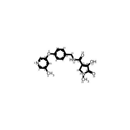 Cc1cncc(Oc2ccc(CNC(=O)C3=C(O)C(=O)N(C)C3)cc2)c1